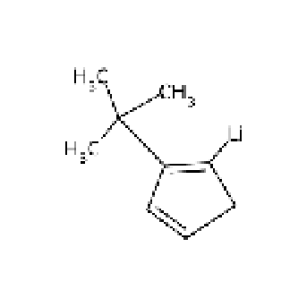 [Li][C]1=C(C(C)(C)C)C=CC1